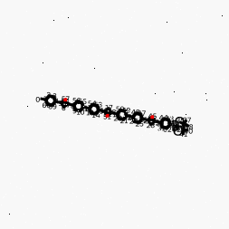 Cc1ccc(C23CC(c4ccc(-c5ccc(C67CC(c8ccc(-c9ccc(C%10%11CC(c%12ccc(B%13OC(C)(C)C(C)(C)O%13)cc%12)(C%10)C%11)cc9)cc8)(C6)C7)cc5)cc4)(C2)C3)cc1